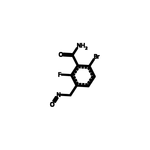 NC(=O)c1c(Br)ccc(CN=O)c1F